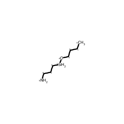 CCCCO[SiH2]CCCN